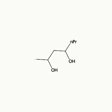 [CH2]C(O)CC(O)CCC